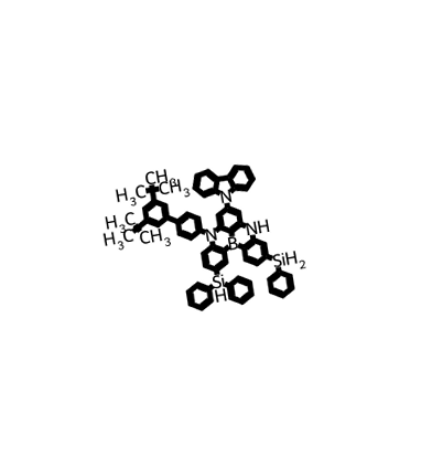 CC(C)(C)c1cc(-c2ccc(N3c4ccc([SiH](c5ccccc5)c5ccccc5)cc4B4c5ccc([SiH2]c6ccccc6)cc5Nc5cc(-n6c7ccccc7c7ccccc76)cc3c54)cc2)cc(C(C)(C)C)c1